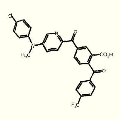 CN(c1ccc(Cl)cc1)c1ccc(C(=O)c2ccc(C(=O)c3ccc(C(F)(F)F)cc3)c(C(=O)O)c2)nc1